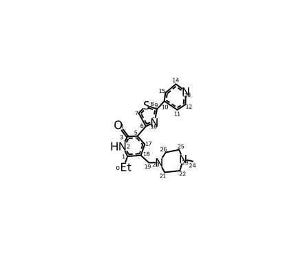 CCc1[nH]c(=O)c(-c2csc(-c3ccncc3)n2)cc1CN1CCN(C)CC1